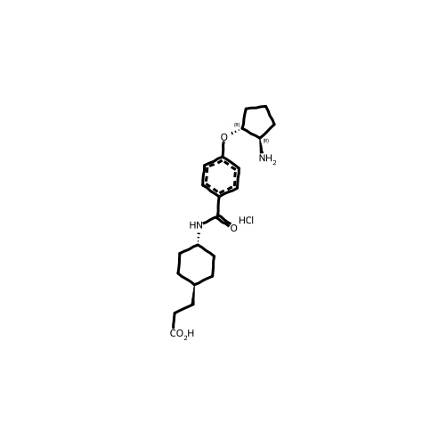 Cl.N[C@@H]1CCC[C@H]1Oc1ccc(C(=O)N[C@H]2CC[C@H](CCC(=O)O)CC2)cc1